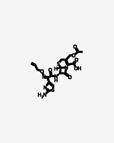 C=CCO/N=C(\C(=O)N[C@@H]1C(=O)N2C(C(=O)O)=C(COC(C)=O)CS[C@@H]12)c1csc(N)n1